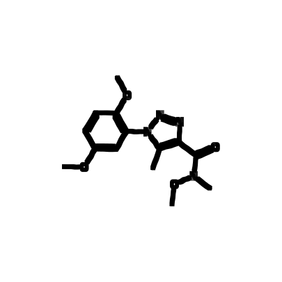 COc1ccc(OC)c(-n2nnc(C(=O)N(C)OC)c2C)c1